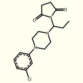 CCC(N1CCN(c2cccc(Cl)c2)CC1)N1C(=O)CCC1=O